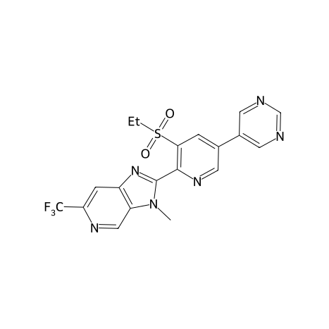 CCS(=O)(=O)c1cc(-c2cncnc2)cnc1-c1nc2cc(C(F)(F)F)ncc2n1C